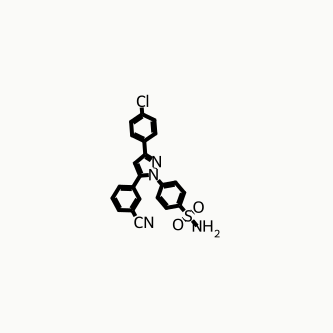 N#Cc1cccc(-c2cc(-c3ccc(Cl)cc3)nn2-c2ccc(S(N)(=O)=O)cc2)c1